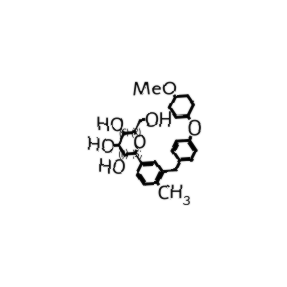 COC1CCC(Oc2ccc(Cc3cc([C@@H]4O[C@H](CO)[C@@H](O)C(O)[C@H]4O)ccc3C)cc2)CC1